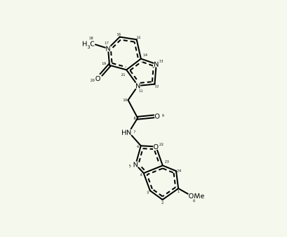 COc1ccc2nc(NC(=O)Cn3cnc4ccn(C)c(=O)c43)oc2c1